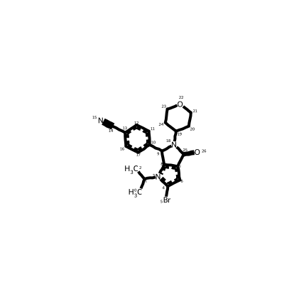 CC(C)n1c(Br)cc2c1C(c1ccc(C#N)cc1)N(C1CCOCC1)C2=O